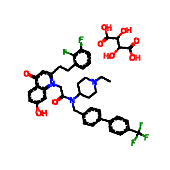 CCN1CCC(N(Cc2ccc(-c3ccc(C(F)(F)F)cc3)cc2)C(=O)Cn2c(CCc3cccc(F)c3F)cc(=O)c3ccc(O)cc32)CC1.O=C(O)C(O)C(O)C(=O)O